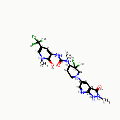 CN(C(=O)Nc1cc(C(F)(F)F)cn(C)c1=O)[C@@H]1CCN(c2cnc3[nH]n(C)c(=O)c3c2)CC1(F)F